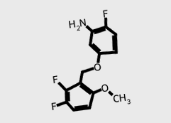 COc1ccc(F)c(F)c1COc1ccc(F)c(N)c1